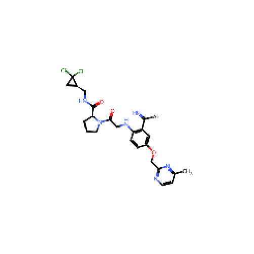 CC(=O)C(=N)c1cc(OCc2nccc(C)n2)ccc1NCC(=O)N1CCC[C@H]1C(=O)NC[C@H]1CC1(Cl)Cl